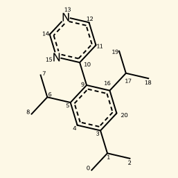 CC(C)c1cc(C(C)C)c(-c2ccncn2)c(C(C)C)c1